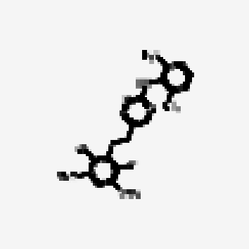 COc1cc(OC)c(Cl)c(CCc2cnc(Nc3c(C)cccc3N)nc2)c1Cl